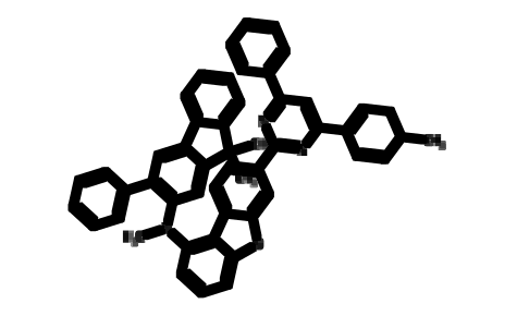 CC1C=CC(c2cc(-c3ccccc3)nc(-c3ccc4c(c3)oc3cccc(N(C)c5cc6c(cc5-c5ccccc5)-c5ccccc5C6(C)C)c34)n2)=CC1